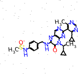 Cc1ncnc(C2CC2)c1-c1ncc2nc(NCc3ccc(N[S+](C)[O-])cc3)c(=O)n(C(C)C3CC3)c2n1